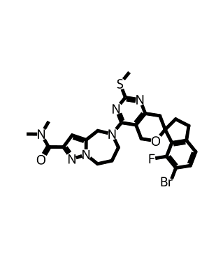 CSc1nc2c(c(N3CCCn4nc(C(=O)N(C)C)cc4C3)n1)COC1(CCc3ccc(Br)c(F)c31)C2